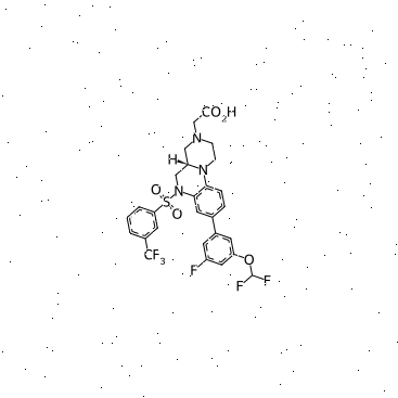 O=C(O)CN1CCN2c3ccc(-c4cc(F)cc(OC(F)F)c4)cc3N(S(=O)(=O)c3cccc(C(F)(F)F)c3)C[C@@H]2C1